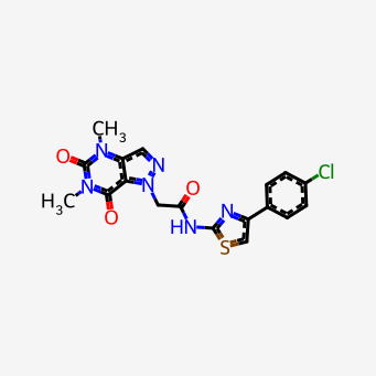 Cn1c(=O)c2c(cnn2CC(=O)Nc2nc(-c3ccc(Cl)cc3)cs2)n(C)c1=O